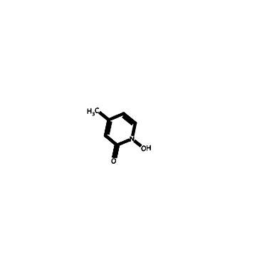 Cc1ccn(O)c(=O)c1